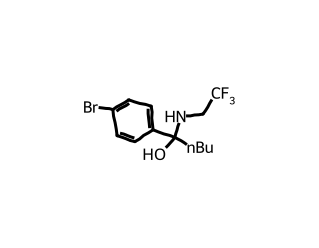 CCCCC(O)(NCC(F)(F)F)c1ccc(Br)cc1